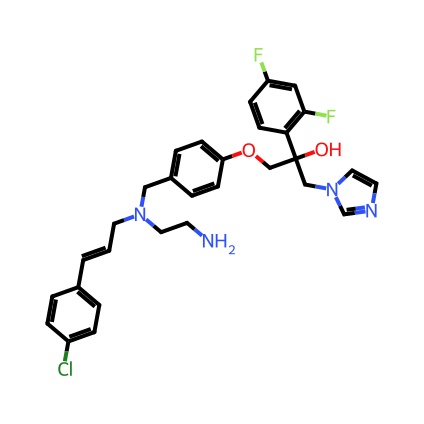 NCCN(C/C=C/c1ccc(Cl)cc1)Cc1ccc(OCC(O)(Cn2ccnc2)c2ccc(F)cc2F)cc1